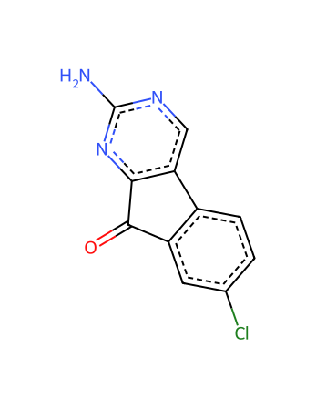 Nc1ncc2c(n1)C(=O)c1cc(Cl)ccc1-2